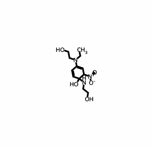 CCN(CCO)C1=CC([N+](=O)[O-])C(O)(NCCO)C=C1